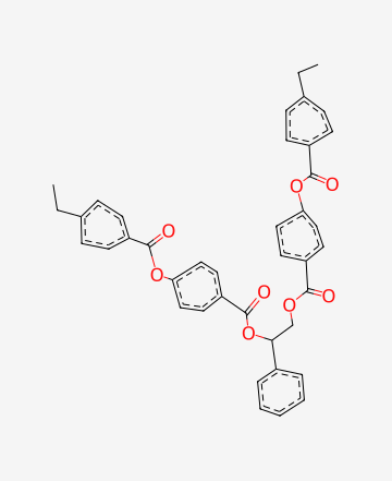 CCc1ccc(C(=O)Oc2ccc(C(=O)OCC(OC(=O)c3ccc(OC(=O)c4ccc(CC)cc4)cc3)c3ccccc3)cc2)cc1